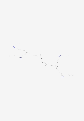 CCCCC/C=C\CCCOCC(CC/C=C\CCCCC)OSCCCCN(C)C1CCC(N(C)CCCC[Si](C)(OCCC/C=C\CCCCC)OCCC/C=C\CCCCC)CC1